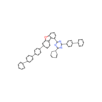 C1=CCC(c2nc(-c3ccc(-c4ccccc4)cc3)nc(-c3cccc4oc5cc(-c6ccc(-c7ccc(-c8ccccc8)cc7)cc6)ccc5c34)n2)C=C1